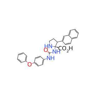 O=C(Nc1ccc(Oc2ccccc2)cc1)N[C@]1(C(=O)O)NCCC1c1ccc2ccccc2c1